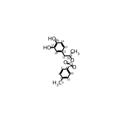 Cc1ccc(S(=O)(=O)O[C@@H](C)Cc2ccc(O)c(O)c2)cc1